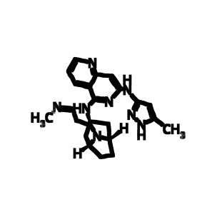 C/N=C\CCN1[C@@H]2CC[C@H]1C[C@H](Nc1nc(Nc3cc(C)[nH]n3)cc3ncccc13)C2